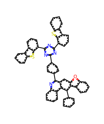 c1ccc(-c2c3c(cc4c(-c5ccc(-c6nc(-c7cccc8c7sc7ccccc78)nc(-c7cccc8c7sc7ccccc78)n6)cc5)nc5ccccc5c24)oc2ccccc23)cc1